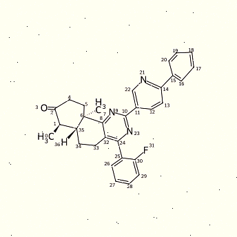 C[C@H]1C(=O)CC[C@@]2(C)c3nc(-c4ccc(-c5ccccc5)nc4)nc(-c4ccccc4F)c3CC[C@H]12